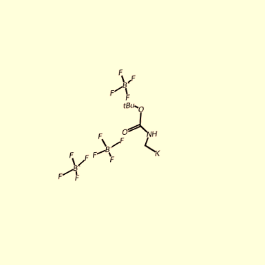 CC(C)(C)OC(=O)N[CH2][K].F[B-](F)(F)F.F[B-](F)(F)F.F[B-](F)(F)F